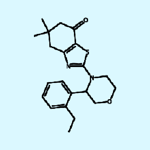 CCc1ccccc1C1COCCN1c1nc2c(s1)C(=O)CC(C)(C)C2